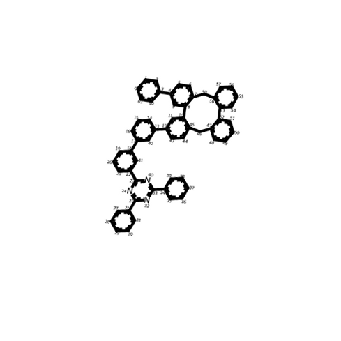 c1ccc(-c2ccc3c(c2)-c2cc(-c4cccc(-c5cccc(-c6nc(-c7ccccc7)nc(-c7ccccc7)n6)c5)c4)ccc2Cc2ccccc2-c2ccccc2C3)cc1